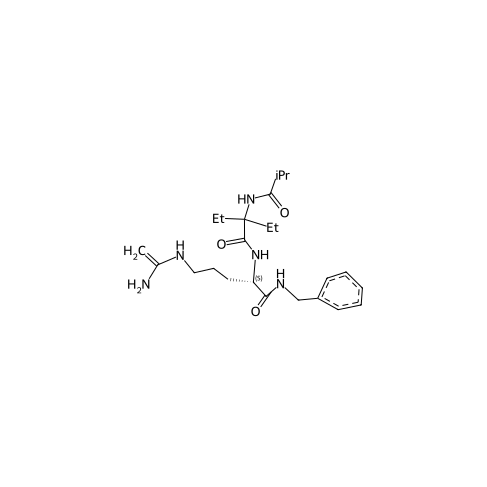 C=C(N)NCCC[C@H](NC(=O)C(CC)(CC)NC(=O)C(C)C)C(=O)NCc1ccccc1